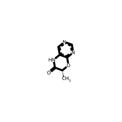 C[C@H]1Oc2ncncc2NC1=O